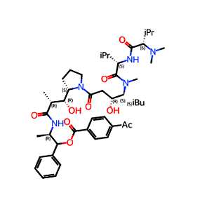 CC[C@H](C)[C@@H]([C@H](O)CC(=O)N1CCC[C@H]1[C@H](O)[C@@H](C)C(=O)N[C@H](C)C(OC(=O)c1ccc(C(C)=O)cc1)c1ccccc1)N(C)C(=O)[C@@H](NC(=O)[C@H](C(C)C)N(C)C)C(C)C